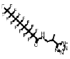 CC(CNC(=O)C(F)(F)C(F)(F)C(F)(F)C(F)(F)C(F)(F)C(F)(F)C(F)(F)F)c1nnn[nH]1